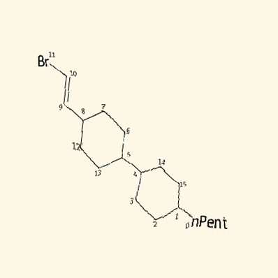 CCCCCC1CCC(C2CCC(/C=C/Br)CC2)CC1